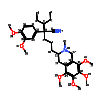 CCC(CC)C(C#N)(CCCC1Cc2c(c(OC)c(OC)c(OC)c2OC)CN1C)c1ccc(OC)c(OC)c1